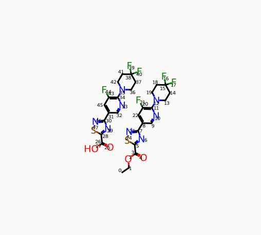 CCOC(=O)c1nc(-c2cnc(N3CCC(F)(F)CC3)c(F)c2)ns1.O=C(O)c1nc(-c2cnc(N3CCC(F)(F)CC3)c(F)c2)ns1